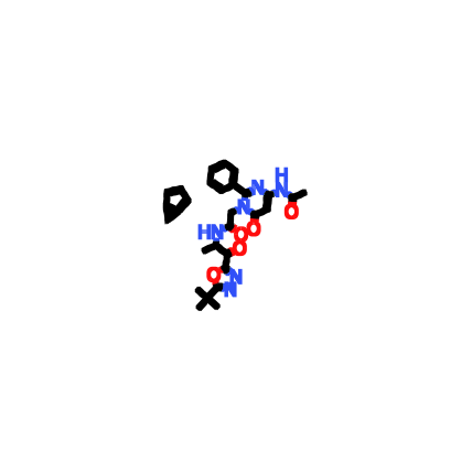 CC(=O)Nc1cc(=O)n(CC(=O)NC(C)C(=O)c2nnc(C(C)(C)C)o2)c(-c2ccccc2)n1.c1cc2cc-2c1